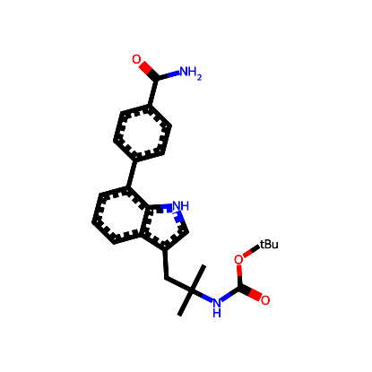 CC(C)(Cc1c[nH]c2c(-c3ccc(C(N)=O)cc3)cccc12)NC(=O)OC(C)(C)C